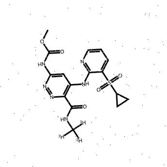 [2H]C([2H])([2H])NC(=O)c1nnc(NC(=O)OC)cc1Nc1ncccc1S(=O)(=O)C1CC1